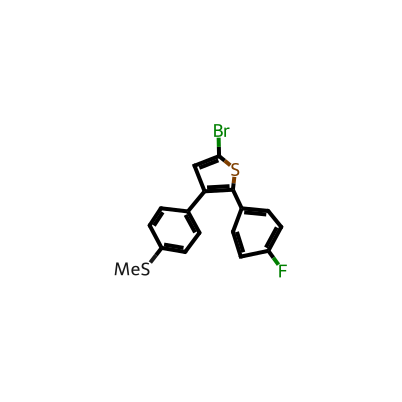 CSc1ccc(-c2cc(Br)sc2-c2ccc(F)cc2)cc1